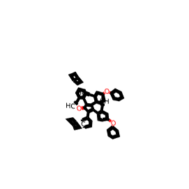 C#Cc1cc(Oc2ccccc2)ccc1C1=C(c2ccccc2)C(=O)C(c2ccccc2C#C)=C1c1ccc(Oc2ccccc2)cc1C#C.c1cc2ccc1-2.c1cc2ccc1-2